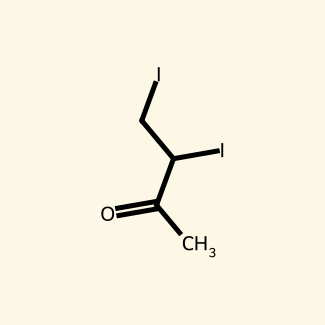 CC(=O)C(I)CI